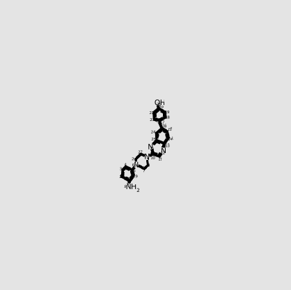 Nc1cccc(N2CCN(c3cnc4ccc(-c5ccc(O)cc5)cc4n3)CC2)c1